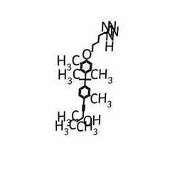 CCC(CC)(c1ccc(C#CC(O)C(C)(C)C)c(C)c1)c1ccc(OCCCCc2nnn[nH]2)c(C)c1